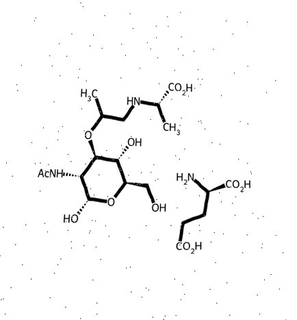 CC(=O)N[C@@H]1[C@@H](OC(C)CN[C@@H](C)C(=O)O)[C@H](O)[C@@H](CO)O[C@@H]1O.N[C@H](CCC(=O)O)C(=O)O